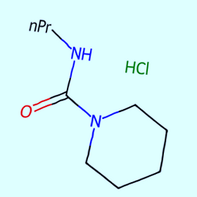 CCCNC(=O)N1CCCCC1.Cl